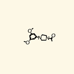 COc1cc(OC)cc(N2CCN(C(C)=O)CC2)c1